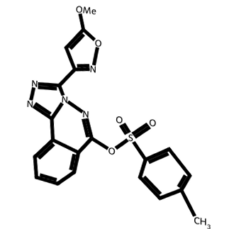 COc1cc(-c2nnc3c4ccccc4c(OS(=O)(=O)c4ccc(C)cc4)nn23)no1